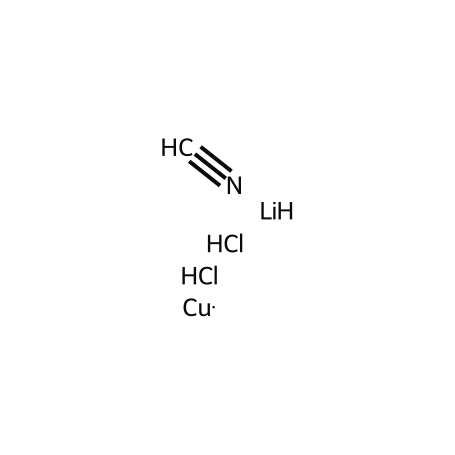 C#N.Cl.Cl.[Cu].[LiH]